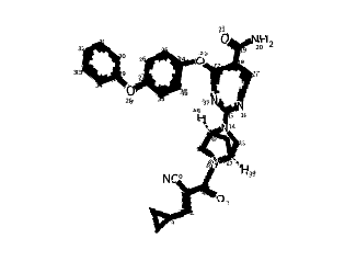 N#C/C(=C\C1CC1)C(=O)N1C[C@@H]2C[C@H]1CN2c1ncc(C(N)=O)c(Oc2ccc(Oc3ccccc3)cc2)n1